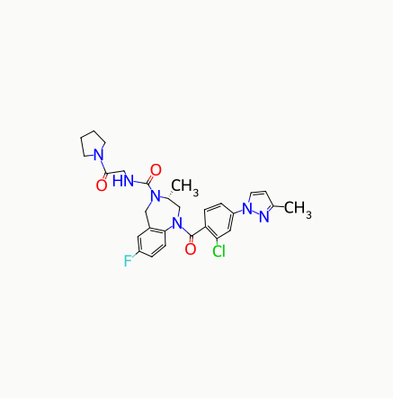 Cc1ccn(-c2ccc(C(=O)N3C[C@@H](C)N(C(=O)NCC(=O)N4CCCC4)Cc4cc(F)ccc43)c(Cl)c2)n1